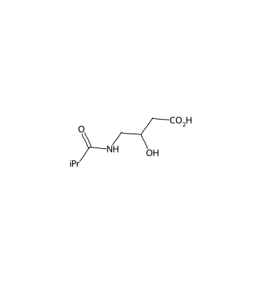 CC(C)C(=O)NCC(O)CC(=O)O